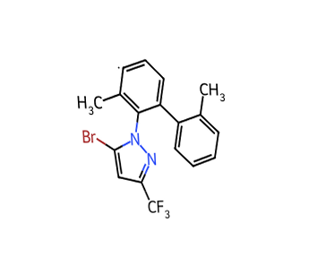 Cc1[c]ccc(-c2ccccc2C)c1-n1nc(C(F)(F)F)cc1Br